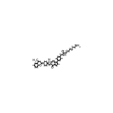 C[C@H](CC(=O)N1CCC(O)(Cn2cnn3c(-c4ccc(CNC(=O)COCCOCCN)cc4)ccc3c2=O)CC1)c1ccccc1